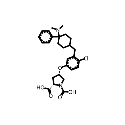 CN(C)C1(c2ccccc2)CCC(Cc2cc(O[C@H]3C[C@@H](C(=O)O)N(C(=O)O)C3)ccc2Cl)CC1